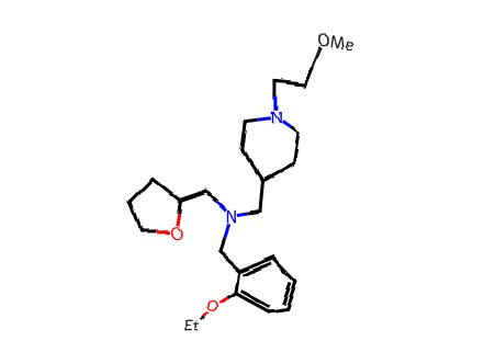 CCOc1ccccc1CN(CC1CCN(CCOC)CC1)CC1CCCO1